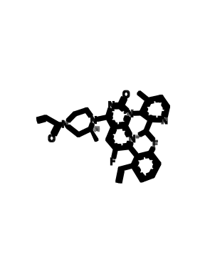 C=CC(=O)N1CCN(c2nc(=O)n3c4c2cc(F)c(-c2c(F)cccc2C=C)[n+]4C(C)c2nccc(C)c2-3)[C@@H](C)C1